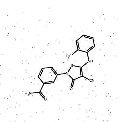 N#Cc1c(Nc2ccccc2C(F)(F)F)sn(-c2cccc(C(N)=O)c2)c1=O